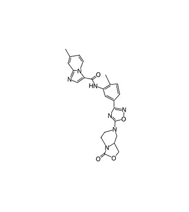 Cc1ccn2c(C(=O)Nc3cc(-c4noc(N5CCN6C(=O)OCC6C5)n4)ccc3C)cnc2c1